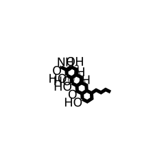 CCCCC1CCC(O)C2C(=O)C3C(O)[C@]4(O)C(O)C(C(N)=O)=C(O)C[C@@H]4C[C@@H]3CC12